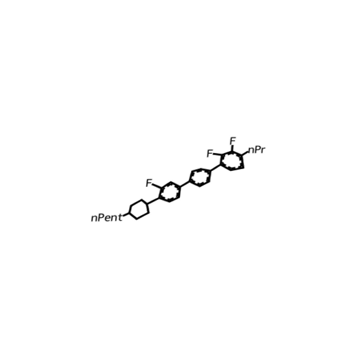 CCCCCC1CCC(c2ccc(-c3ccc(-c4ccc(CCC)c(F)c4F)cc3)cc2F)CC1